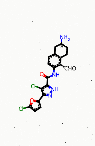 N[C@H]1CCc2c(ccc(NC(=O)c3[nH]nc(-c4ccc(Cl)o4)c3Cl)c2C=O)C1